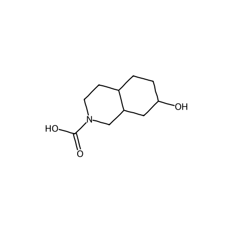 O=C(O)N1CCC2CCC(O)CC2C1